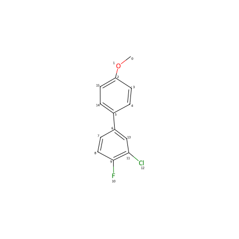 COc1[c]cc(-c2ccc(F)c(Cl)c2)cc1